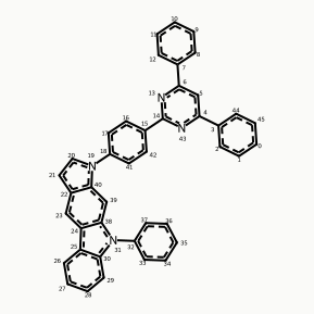 c1ccc(-c2cc(-c3ccccc3)nc(-c3ccc(-n4ccc5cc6c7ccccc7n(-c7ccccc7)c6cc54)cc3)n2)cc1